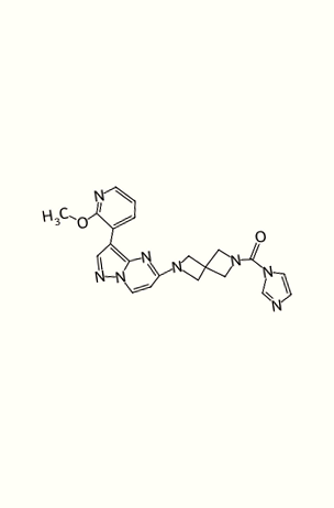 COc1ncccc1-c1cnn2ccc(N3CC4(CN(C(=O)n5ccnc5)C4)C3)nc12